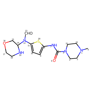 CN1CCN(C(=O)Nc2ccc(N(C=O)C3COCCN3)s2)CC1